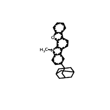 Cn1c2ccc(C34CC5CC(CC(C5)C3)C4)cc2c2ccc3c4ccccc4oc3c21